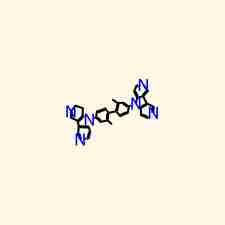 Cc1cc(-n2c3c(c4cnccc42)C=NCC3)ccc1-c1ccc(-n2c3ccncc3c3cnccc32)cc1C